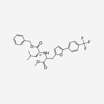 COC(=O)C(Cc1ccc(-c2ccc(C(F)(F)F)cc2)o1)N[C@@H](CC(C)C)C(=O)OCc1ccccc1